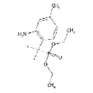 CCOP(=O)(OCC)C(F)(F)c1ccc(C)cc1N